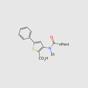 CCCCCC(=O)N(CC)c1cc(-c2ccccc2)sc1C(=O)O